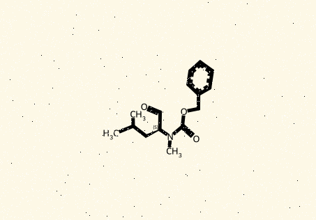 CC(C)C[C@@H]([C]=O)N(C)C(=O)OCc1ccccc1